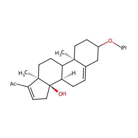 CC(=O)C1=CC[C@@]2(O)[C@@H]3CC=C4CC(OC(C)C)CC[C@]4(C)C3CC[C@]12C